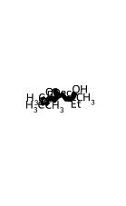 CCCCCCCCCCC(C)(O)C(=CCc1coc([Si](C)(C)C)c1)CC